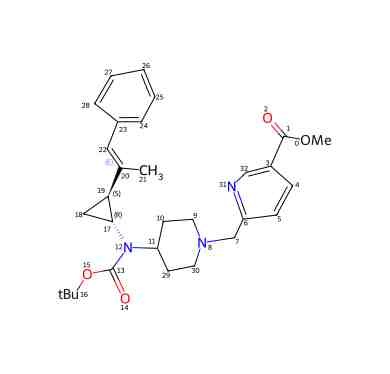 COC(=O)c1ccc(CN2CCC(N(C(=O)OC(C)(C)C)[C@@H]3C[C@H]3/C(C)=C/c3ccccc3)CC2)nc1